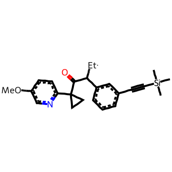 C[CH]C(C(=O)C1(c2ccc(OC)cn2)CC1)c1cccc(C#C[Si](C)(C)C)c1